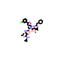 CCC[C@H](NC(=O)[C@@H]1C[C@]2(CC(c3cccc(Cl)c3)=NO2)CN1C(=O)[C@@H](NC(=O)CC1CCCCC1)C1(OC)CC1)C(=O)C(=O)NC1CC1